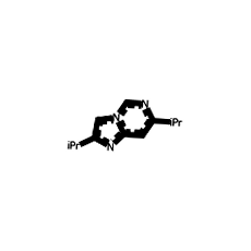 CC(C)c1cc2nc(C(C)C)cn2cn1